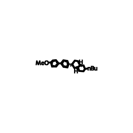 CCCCC1CC[C@@H]2C[C@H](c3ccc(-c4ccc(OC)cc4)cc3)CC[C@@H]2C1